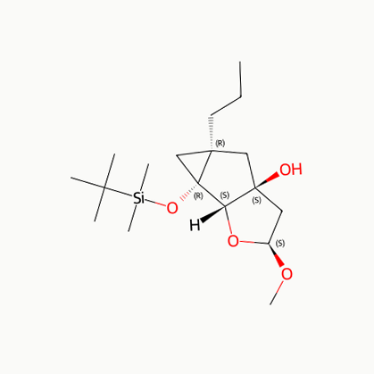 CCC[C@]12C[C@]3(O)C[C@@H](OC)O[C@@H]3[C@@]1(O[Si](C)(C)C(C)(C)C)C2